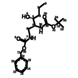 CCC[C@@H](O)[C@H](CNC(=O)OCc1ccccc1)NC(=O)OC(C)(C)C